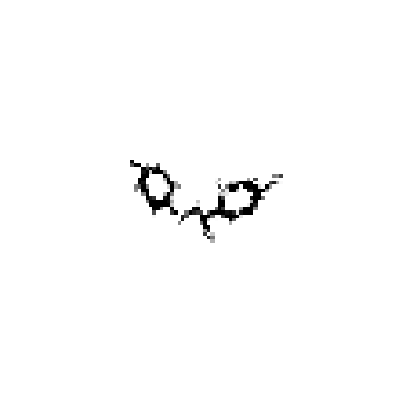 CCc1ccc(C(=O)COc2ccc(C)cc2)nc1